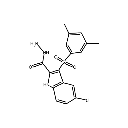 Cc1cc(C)cc(S(=O)(=O)c2c(C(=O)NN)[nH]c3ccc(Cl)cc23)c1